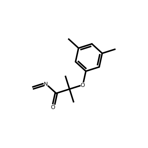 C=NC(=O)C(C)(C)Oc1cc(C)cc(C)c1